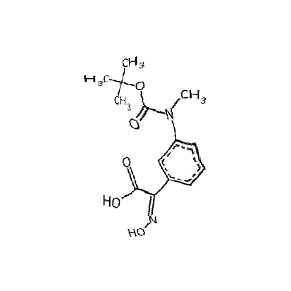 CN(C(=O)OC(C)(C)C)c1cccc(C(=NO)C(=O)O)c1